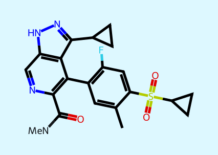 CNC(=O)c1ncc2[nH]nc(C3CC3)c2c1-c1cc(C)c(S(=O)(=O)C2CC2)cc1F